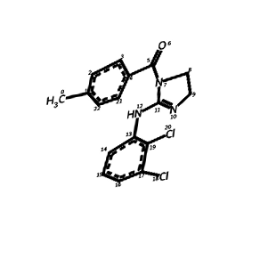 Cc1ccc(C(=O)N2CCN=C2Nc2cccc(Cl)c2Cl)cc1